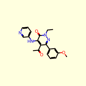 CCn1nc(-c2cccc(OC)c2)c(C(C)=O)c(Nc2cccnc2)c1=O